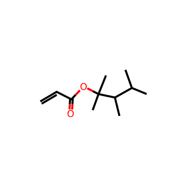 C=CC(=O)OC(C)(C)C(C)C(C)C